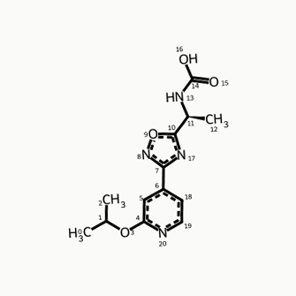 CC(C)Oc1cc(-c2noc([C@H](C)NC(=O)O)n2)ccn1